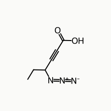 CCC(C#CC(=O)O)N=[N+]=[N-]